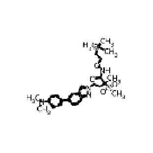 CN(C)c1ccc(-c2ccc3nn(CC[C@](C)(C(=O)NOCC[Si](C)(C)C)S(C)(=O)=O)cc3c2)cc1